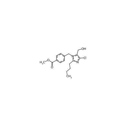 CCCCc1nc(Cl)c(CO)n1Cc1ccc(C(=O)OC)cc1